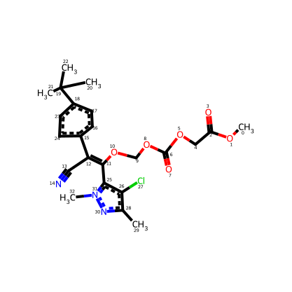 COC(=O)COC(=O)OCO/C(=C(/C#N)c1ccc(C(C)(C)C)cc1)c1c(Cl)c(C)nn1C